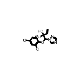 C=CC(O)(C(Oc1ccc(Cl)cc1Cl)n1cncn1)C(C)(C)C